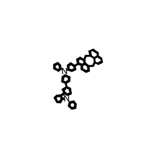 C1=CC2=CC=CC3Cc4cccc5c(-c6ccc(N(c7ccccc7)c7ccc(-c8ccc9c(c8)c8ccccc8n9-c8ccccc8)cc7)cc6)ccc(c45)CC(=C1)C23